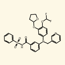 O=C(NS(=O)(=O)c1ccccc1)c1cccc(N(Cc2cccnc2)c2ccc(OC(F)F)c(OC3CCCO3)c2)c1